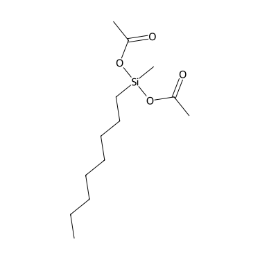 CCCCCCCC[Si](C)(OC(C)=O)OC(C)=O